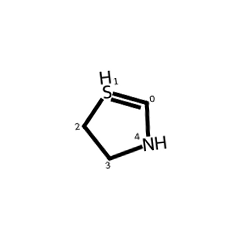 C1=[SH]CCN1